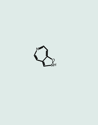 C1=CC2=CNOC2=CC=N1